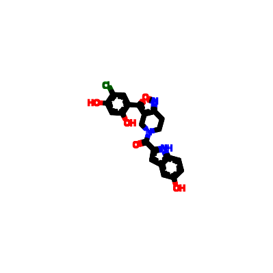 O=C(c1cc2cc(O)ccc2[nH]1)N1CCc2noc(-c3cc(Cl)c(O)cc3O)c2C1